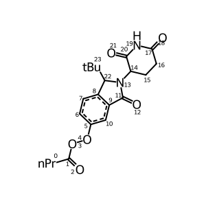 CCCC(=O)OOc1ccc2c(c1)C(=O)N(C1CCC(=O)NC1=O)C2C(C)(C)C